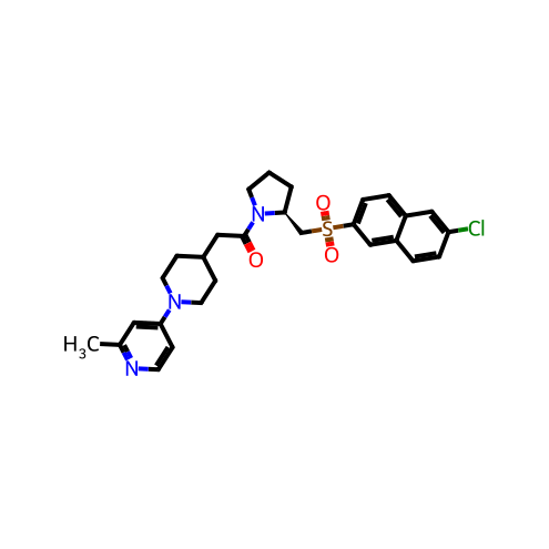 Cc1cc(N2CCC(CC(=O)N3CCC[C@H]3CS(=O)(=O)c3ccc4cc(Cl)ccc4c3)CC2)ccn1